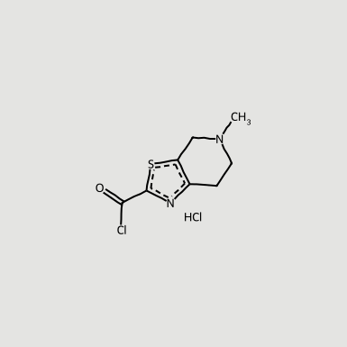 CN1CCc2nc(C(=O)Cl)sc2C1.Cl